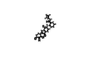 O=C1CCC(N2Cc3c(ccc(C[C@H]4CCCC[C@@H]4NCC45CC(C4)C5)c3F)C2=O)C(=O)N1